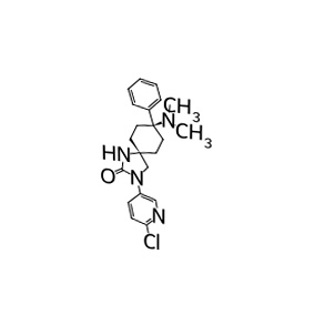 CN(C)[C@]1(c2ccccc2)CC[C@@]2(CC1)CN(c1ccc(Cl)nc1)C(=O)N2